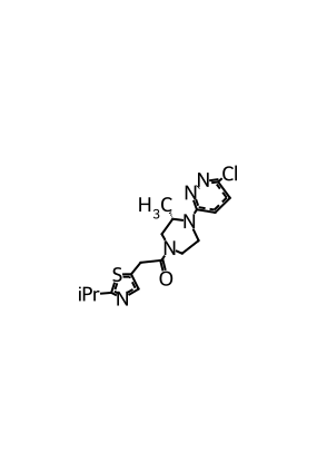 CC(C)c1ncc(CC(=O)N2CCN(c3ccc(Cl)nn3)[C@@H](C)C2)s1